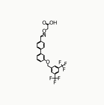 O=C(O)CON=Cc1ccc(-c2cccc(OCc3cc(C(F)(F)F)cc(C(F)(F)F)c3)c2)cc1